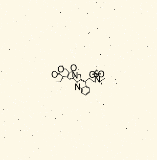 CC[C]1C(=O)OCc2c1cc1n(c2=O)Cc2c-1nc1ccccc1c2CCN(C(C)C)S(C)(=O)=O